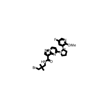 COc1ncc(F)cc1[C@H]1CCCN1c1ccn2ncc(C(=O)NCC(C)(C)CBr)c2n1